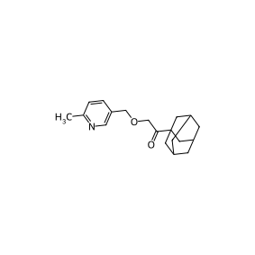 Cc1ccc(COCC(=O)C23CC4CC(CC(C4)C2)C3)cn1